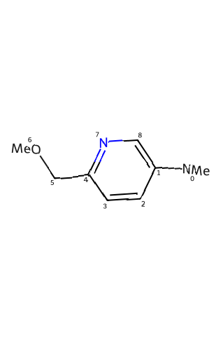 CNc1ccc(COC)nc1